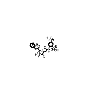 COc1ccc(NC(=O)CC(OC(=O)C(Cc2ccccc2)OC)C(C)=O)c(S(=O)(=O)O)c1